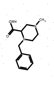 COC(=O)C1CN(C)CCN1Cc1ccccc1